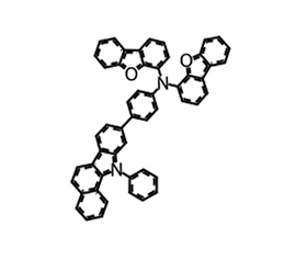 c1ccc(-n2c3cc(-c4ccc(N(c5cccc6c5oc5ccccc56)c5cccc6c5oc5ccccc56)cc4)ccc3c3ccc4ccccc4c32)cc1